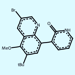 COc1c(C(C)(C)C)cc(-c2ccc[nH]c2=O)c2ncc(Br)cc12